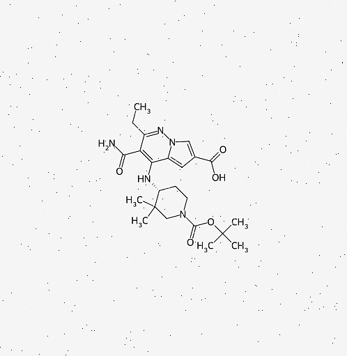 CCc1nn2cc(C(=O)O)cc2c(N[C@@H]2CCN(C(=O)OC(C)(C)C)CC2(C)C)c1C(N)=O